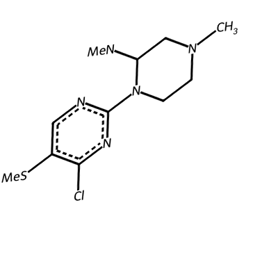 CNC1CN(C)CCN1c1ncc(SC)c(Cl)n1